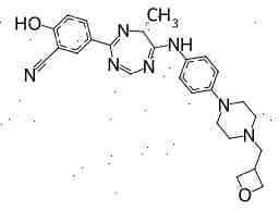 C[C@H]1N=C(c2ccc(O)c(C#N)c2)N=CN=C1Nc1ccc(N2CCN(CC3COC3)CC2)cc1